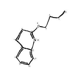 CCCCOc1ccc2ccccc2n1